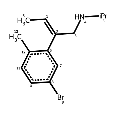 C/C=C(/CNC(C)C)c1cc(Br)ccc1C